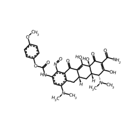 COc1ccc(OC(=O)Nc2cc(N(C)C)c3c(c2N=O)C(=O)C2=C(O)[C@]4(O)C(=O)C(C(N)=O)=C(O)[C@H](N(C)C)[C@@H]4C[C@@H]2C3)cc1